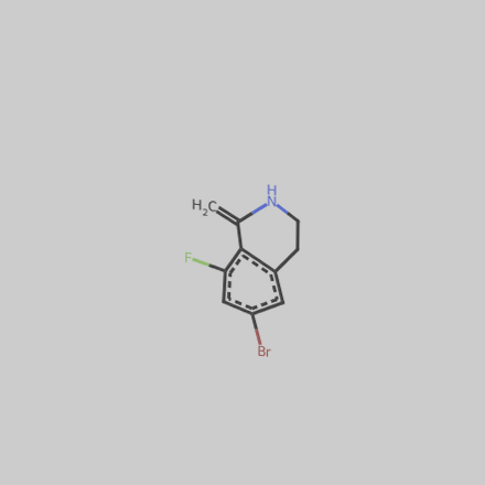 C=C1NCCc2cc(Br)cc(F)c21